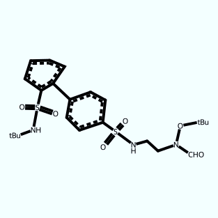 CC(C)(C)NS(=O)(=O)c1ccccc1-c1ccc(S(=O)(=O)NCCN(C=O)OC(C)(C)C)cc1